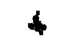 Cn1cncc1C(OCc1ccc(C#N)cn1)c1ccc(C#N)c(-c2ccccc2)c1C(F)(F)F